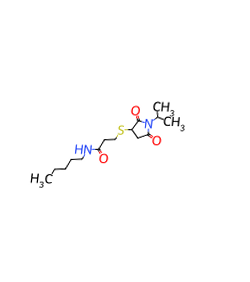 CCCCCNC(=O)CCSC1CC(=O)N(C(C)C)C1=O